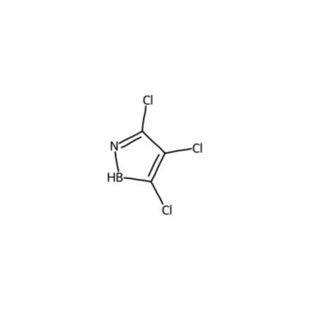 ClC1=NBC(Cl)=C1Cl